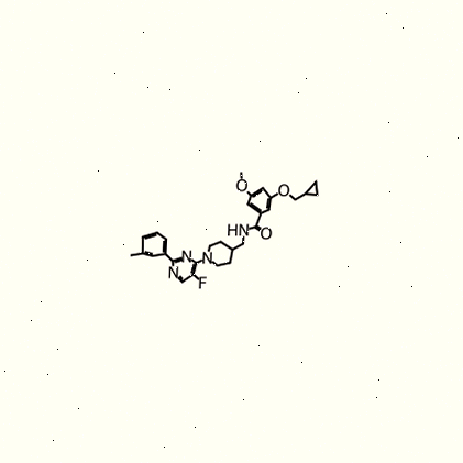 COc1cc(OCC2CC2)cc(C(=O)NCC2CCN(c3nc(-c4cccc(C)c4)ncc3F)CC2)c1